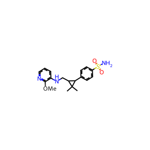 COc1ncccc1NCC1C(c2ccc(S(N)(=O)=O)cc2)C1(C)C